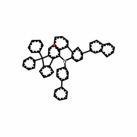 c1ccc(-c2ccc(N(c3ccc(-c4ccc5ccccc5c4)cc3-c3ccccc3)c3cccc4c3-c3ccccc3C4(c3ccccc3)c3ccccc3)cc2)cc1